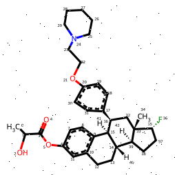 CC(O)C(=O)Oc1ccc2c(c1)CC[C@@H]1[C@@H]2[C@@H](c2ccc(OCCN3CCCCC3)cc2)C[C@]2(C)[C@H](F)CC[C@@H]12